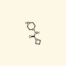 O=C(NN1CCNCC1)N1CCC1